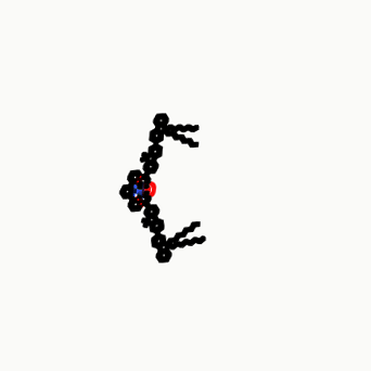 CCCCCCCCC1(CCCCCCC)c2ccccc2-c2ccc(-c3ccc4c(c3)C(C)(C)c3cc(-c5ccc6c(c5)Oc5cc(-c7ccc8c(c7)C(C)(C)c7cc(-c9ccc%10c(c9)C(CCCCCCCC)(CCCCCCCC)c9ccccc9-%10)ccc7-8)ccc5N6c5c(-c6ccccc6)cccc5-c5ccccc5)ccc3-4)cc21